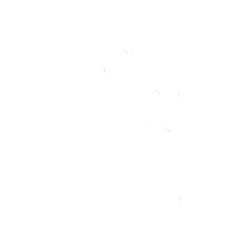 CCCC1CCc2c(cn(C)c2C(=O)Nc2ccc(F)c(F)c2)S(=N)N1